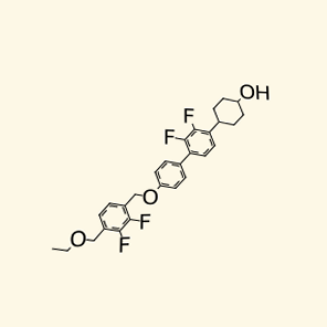 CCOCc1ccc(COc2ccc(-c3ccc(C4CCC(O)CC4)c(F)c3F)cc2)c(F)c1F